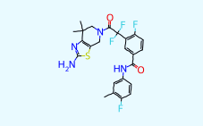 Cc1cc(NC(=O)c2ccc(F)c(C(F)(F)C(=O)N3Cc4sc(N)nc4C(C)(C)C3)c2)ccc1F